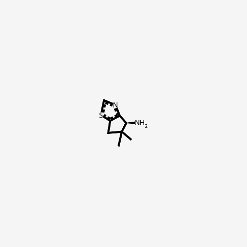 CC1(C)Cc2scnc2[C@H]1N